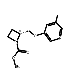 CC(C)(C)OC(=O)N1CC[C@@H]1COc1cncc(I)c1